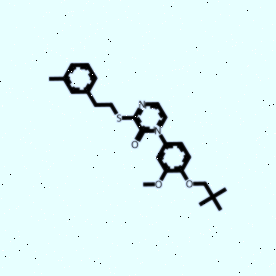 COc1cc(-n2ccnc(SCCc3cccc(C)c3)c2=O)ccc1OCC(C)(C)C